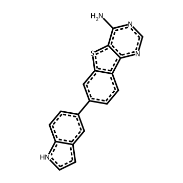 Nc1ncnc2c1sc1cc(-c3ccc4[nH]ccc4c3)ccc12